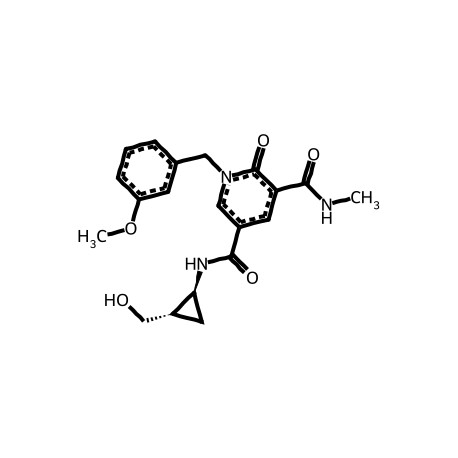 CNC(=O)c1cc(C(=O)N[C@H]2C[C@@H]2CO)cn(Cc2cccc(OC)c2)c1=O